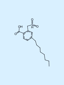 CCCCCCCCc1ccc(C(=O)O)c(C[SH](=O)=O)c1